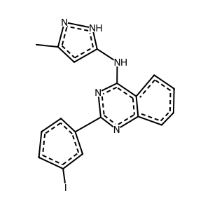 Cc1cc(Nc2nc(-c3cccc(I)c3)nc3ccccc23)[nH]n1